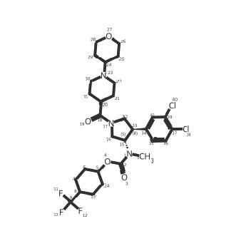 CN(C(=O)OC1CCC(C(F)(F)F)CC1)[C@@H]1CN(C(=O)C2CCN(C3CCOCC3)CC2)C[C@H]1c1ccc(Cl)c(Cl)c1